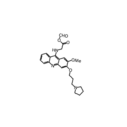 COc1cc2c(NCC(=O)OC=O)c3ccccc3nc2cc1OCCCN1CCCC1